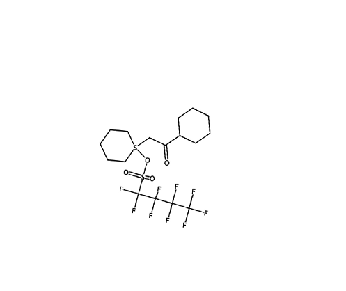 O=C(CS1(OS(=O)(=O)C(F)(F)C(F)(F)C(F)(F)C(F)(F)F)CCCCC1)C1CCCCC1